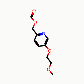 COCCOc1ccc(COC=O)nc1